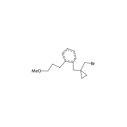 COCCCc1ccccc1CC1(CBr)CC1